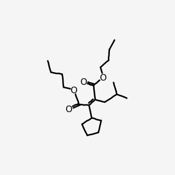 CCCCOC(=O)/C(CC(C)C)=C(\C(=O)OCCCC)C1CCCC1